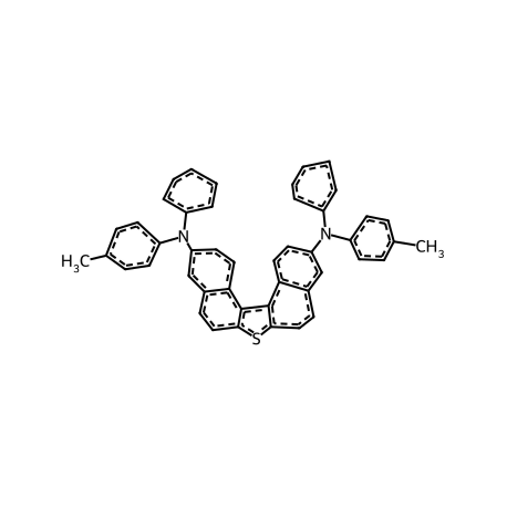 Cc1ccc(N(c2ccccc2)c2ccc3c(ccc4sc5ccc6cc(N(c7ccccc7)c7ccc(C)cc7)ccc6c5c43)c2)cc1